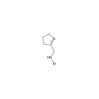 CCNCC1=NCCC1